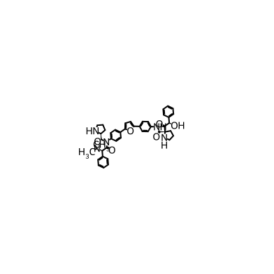 CN(C)[C@@H](C(=O)N(C(=O)[C@@H]1CCCN1)c1ccc(-c2ccc(-c3ccc(NC(=O)[C@@]4(C(=O)[C@H](O)c5ccccc5)CCCN4)cc3)o2)cc1)c1ccccc1